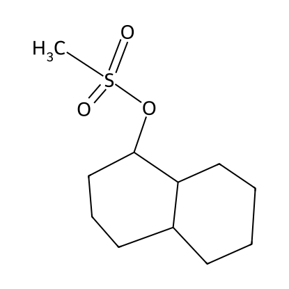 CS(=O)(=O)OC1CCCC2CCCCC21